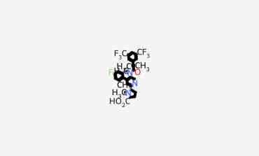 Cc1cc(F)ccc1-c1cc([C@@H]2CC[C@H](C(=O)O)N2C)ncc1N(C)C(=O)C(C)(C)c1cc(C(F)(F)F)cc(C(F)(F)F)c1